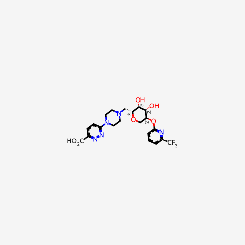 O=C(O)c1ccc(N2CCN(C[C@H]3OC[C@H](Oc4cccc(C(F)(F)F)n4)[C@@H](O)[C@H]3O)CC2)nn1